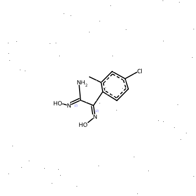 Cc1cc(Cl)ccc1C(=N/O)/C(N)=N/O